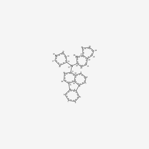 c1ccc2c(c1)-c1cccc3c(N(c4ccncc4)c4ccc5ccccc5n4)ccc-2c13